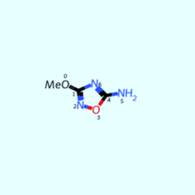 COc1noc(N)n1